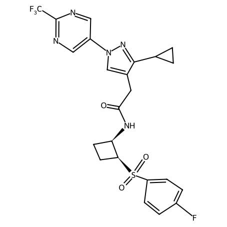 O=C(Cc1cn(-c2cnc(C(F)(F)F)nc2)nc1C1CC1)N[C@@H]1CC[C@@H]1S(=O)(=O)c1ccc(F)cc1